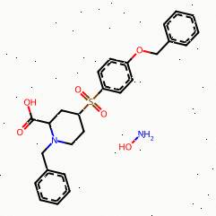 NO.O=C(O)C1CC(S(=O)(=O)c2ccc(OCc3ccccc3)cc2)CCN1Cc1ccccc1